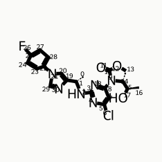 C[C@H](Nc1nc(Cl)cc(N2C(=O)OC[C@@H]2[C@@H](C)O)n1)c1cn(-c2ccc(F)cc2)cn1